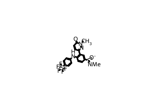 CN[S+]([O-])c1ccc(Nc2ccc(S(F)(F)(F)(F)F)cc2)c(-c2ccc(=O)n(C)n2)c1